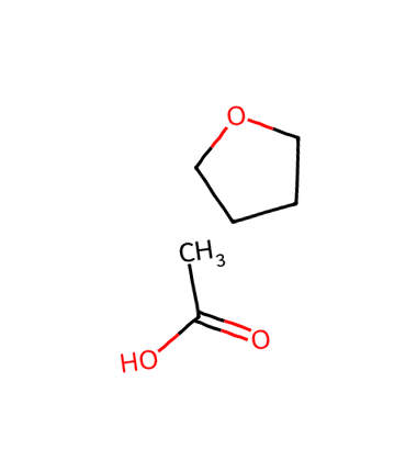 C1CCOC1.CC(=O)O